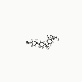 Nc1ccc([S+]([O-])c2ccc(-c3ccc(Br)cc3)cc2)cc1[N+](=O)[O-]